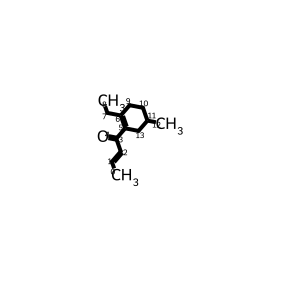 C/C=C/C(=O)C1=C(CC)CCC(C)C1